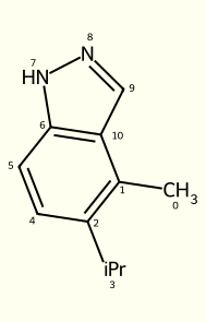 Cc1c(C(C)C)ccc2[nH]ncc12